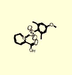 COc1cc(C)c(S(=O)(=O)N2CC=CC=C2C(=O)O)c(C)c1